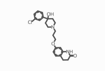 O=C1CCc2ccc(OCCCN3CCC(O)(c4cccc(Cl)c4)CC3)cc2N1